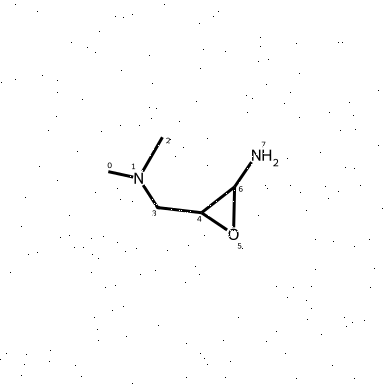 CN(C)CC1OC1N